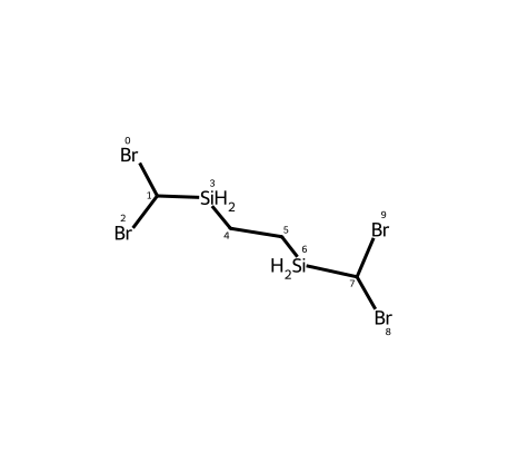 BrC(Br)[SiH2]CC[SiH2]C(Br)Br